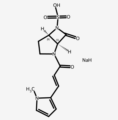 Cn1cccc1C=CC(=O)N1CC[C@@H]2[C@H]1C(=O)N2S(=O)(=O)O.[NaH]